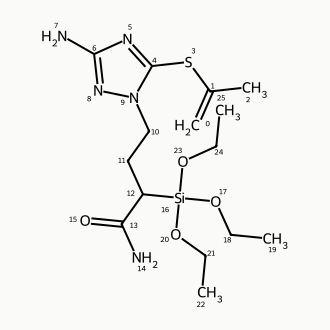 C=C(C)Sc1nc(N)nn1CCC(C(N)=O)[Si](OCC)(OCC)OCC